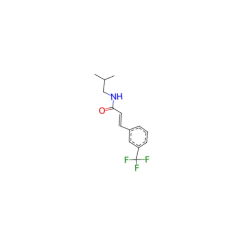 CC(C)CNC(=O)/C=C/c1cccc(C(F)(F)F)c1